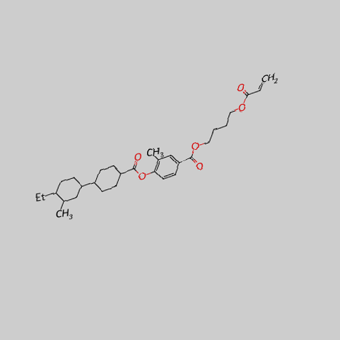 C=CC(=O)OCCCCOC(=O)c1ccc(OC(=O)C2CCC(C3CCC(CC)C(C)C3)CC2)c(C)c1